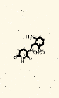 Nc1cccc(N)c1CN(C=O)C1CCC(=O)NC1=O